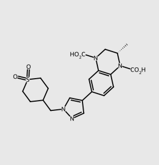 C[C@H]1CN(C(=O)O)c2cc(-c3cnn(CC4CCS(=O)(=O)CC4)c3)ccc2N1C(=O)O